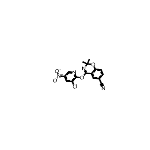 CC1(C)N=C(Oc2ncc([N+](=O)[O-])cc2Cl)c2cc(C#N)ccc2O1